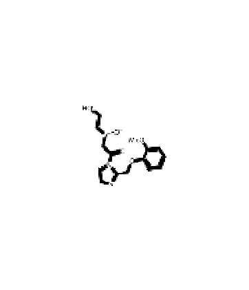 COc1ccccc1OC[C@H]1SCCN1C(=O)C[S@@+]([O-])CCO